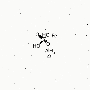 O=S(=O)(O)O.[AlH3].[Fe].[Zn]